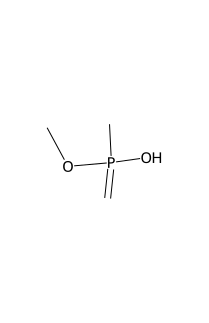 C=P(C)(O)OC